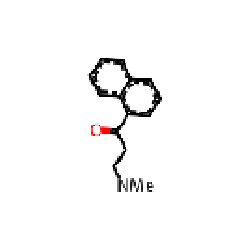 CNCCC(=O)c1cccc2ccccc12